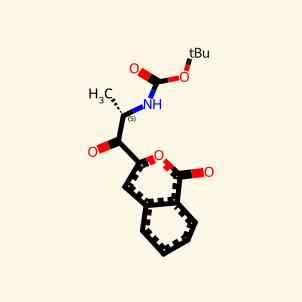 C[C@H](NC(=O)OC(C)(C)C)C(=O)c1cc2ccccc2c(=O)o1